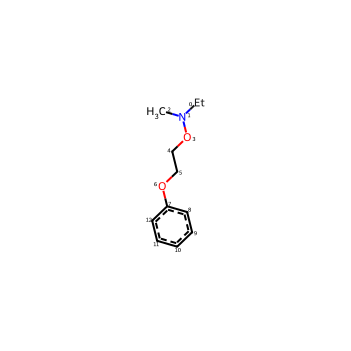 CCN(C)OCCOc1ccccc1